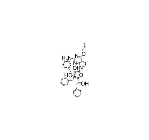 C=CCOc1nc(N)nc2c1ccn2[C@@H]1O[C@H](C(O)Cc2ccccc2)[C@](O)(Cc2ccccc2)[C@@]1(O)Cc1ccccc1